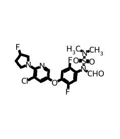 CN(C)S(=O)(=O)N(C=O)c1cc(F)c(Oc2cnc(N3CCC(F)C3)c(Cl)c2)cc1F